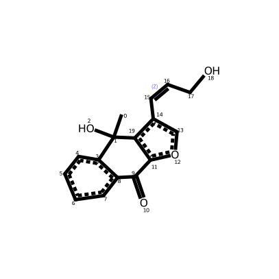 CC1(O)c2ccccc2C(=O)c2occ(/C=C\CO)c21